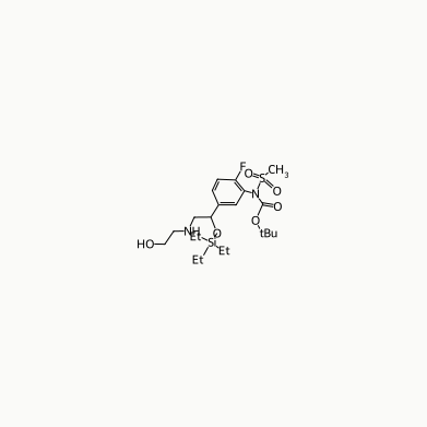 CC[Si](CC)(CC)OC(CNCCO)c1ccc(F)c(N(C(=O)OC(C)(C)C)S(C)(=O)=O)c1